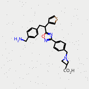 NCc1ccc(CC(c2ccsc2)c2nc(-c3ccc(CN4CC(C(=O)O)C4)cc3)no2)cc1